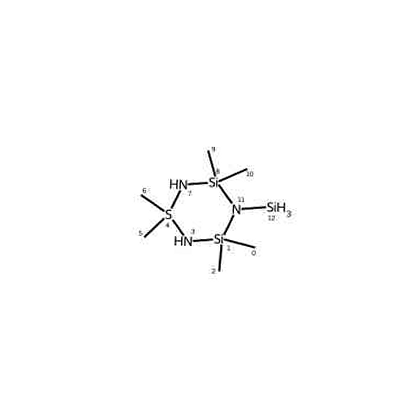 C[Si]1(C)NS(C)(C)N[Si](C)(C)N1[SiH3]